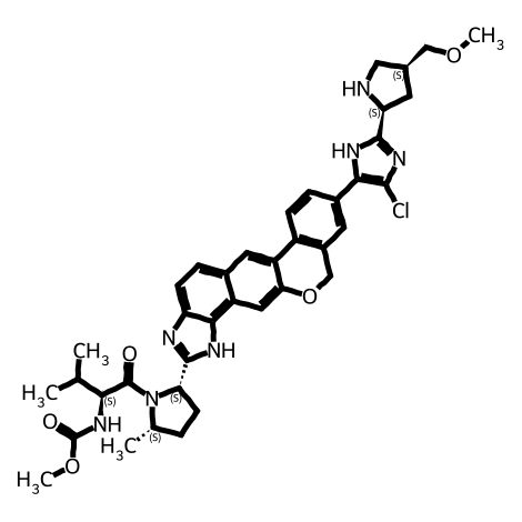 COC[C@@H]1CN[C@H](c2nc(Cl)c(-c3ccc4c(c3)COc3cc5c(ccc6nc([C@@H]7CC[C@H](C)N7C(=O)[C@@H](NC(=O)OC)C(C)C)[nH]c65)cc3-4)[nH]2)C1